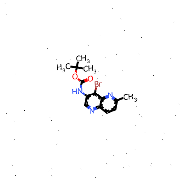 Cc1ccc2ncc(NC(=O)OC(C)(C)C)c(Br)c2n1